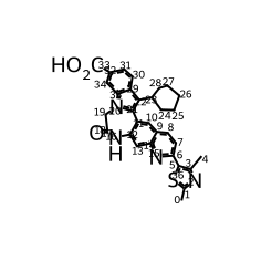 Cc1nc(C)c(-c2ccc3cc4c(cc3n2)NC(=O)Cn2c-4c(C3CCCCC3)c3ccc(C(=O)O)cc32)s1